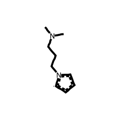 CN(C)CCCn1[c]ccc1